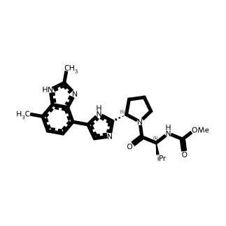 COC(=O)N[C@H](C(=O)N1CCC[C@H]1c1ncc(-c2ccc(C)c3[nH]c(C)nc23)[nH]1)C(C)C